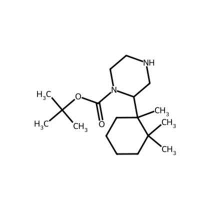 CC(C)(C)OC(=O)N1CCNCC1C1(C)CCCCC1(C)C